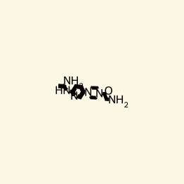 C=C(N)Nc1ccc(N2CCN(C(=O)CN)CC2)cn1